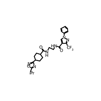 CC(C)c1nc(C2CCC(C(=O)NCCNC(=O)c3cn(-c4ccccc4)nc3C(F)(F)F)CC2)no1